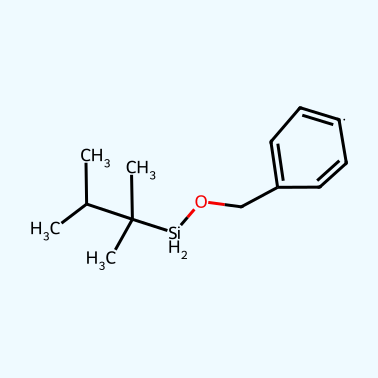 CC(C)C(C)(C)[SiH2]OCc1cc[c]cc1